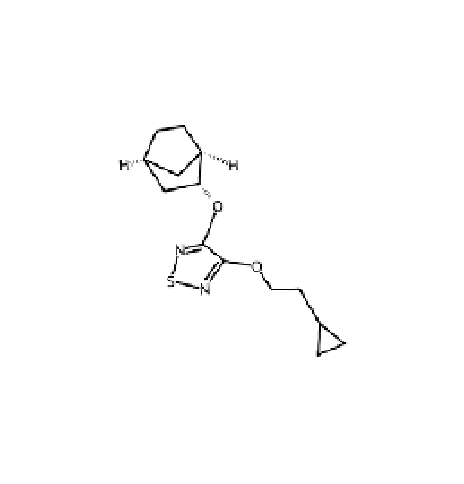 C(CC1CC1)Oc1nsnc1O[C@@H]1C[C@H]2CC[C@@H]1C2